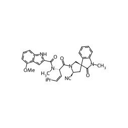 COc1cccc2[nH]c(C(=O)N(C)[C@@H](/C=C\C(C)C)C(=O)N3C[C@]4(C[C@H]3C#N)C(=O)N(C)c3ccccc34)cc12